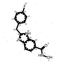 O=C(NO)c1ccc2nc(Cc3ccc(F)cc3)[nH]c2c1